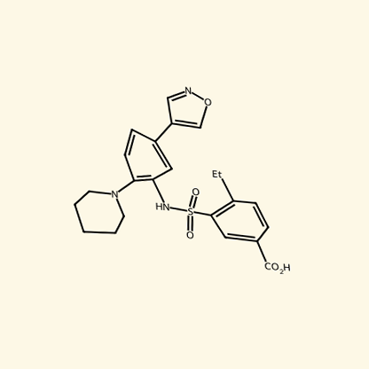 CCc1ccc(C(=O)O)cc1S(=O)(=O)Nc1cc(-c2cnoc2)ccc1N1CCCCC1